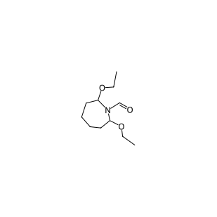 CCOC1CCCCC(OCC)N1C=O